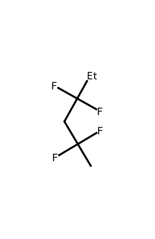 CCC(F)(F)CC(C)(F)F